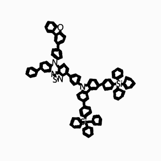 c1ccc(-c2ccc(N(c3ccc(-c4ccc5oc6ccccc6c5c4)cc3)c3ccc(-c4ccc(-n5c6ccc(-c7ccc([Si](c8ccccc8)(c8ccccc8)c8ccccc8)cc7)cc6c6cc(-c7ccc([Si](c8ccccc8)(c8ccccc8)c8ccccc8)cc7)ccc65)cc4)c4nsnc34)cc2)cc1